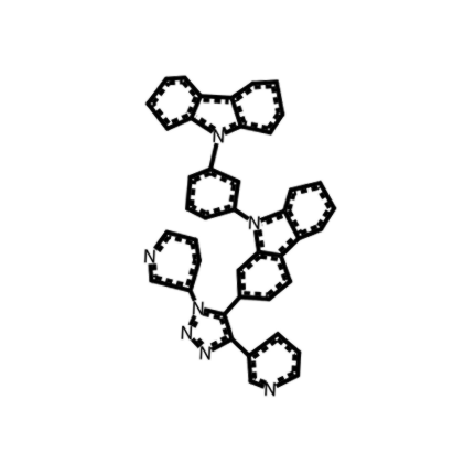 c1cncc(-c2nnn(-c3cccnc3)c2-c2ccc3c4ccccc4n(-c4cccc(-n5c6ccccc6c6ccccc65)c4)c3c2)c1